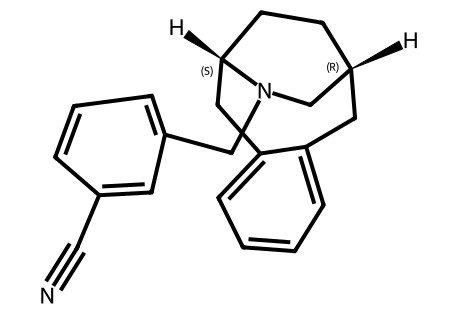 N#Cc1cccc(CN2C[C@@H]3CC[C@H]2Cc2ccccc2C3)c1